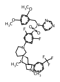 COc1ccc(CN(c2ccncn2)S(=O)(=O)c2c(F)cc(N3CCC[C@@](CCc4cccc(C(F)(F)F)c4)(N(C)C4CN(C)C4)C3)cc2F)c(OC)c1